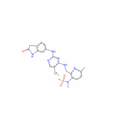 Cc1ccc(N(C)S(C)(=O)=O)c(CNc2nc(Nc3ccc4c(c3)NC(=O)C4)ncc2C(F)(F)F)n1